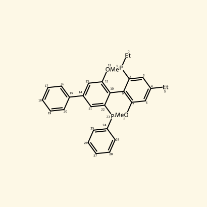 CC[P]c1cc(CC)cc(OC)c1-c1c(OC)cc(-c2ccccc2)cc1[P]c1ccccc1